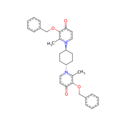 Cc1c(OCc2ccccc2)c(=O)ccn1[C@H]1CC[C@H](n2ccc(=O)c(OCc3ccccc3)c2C)CC1